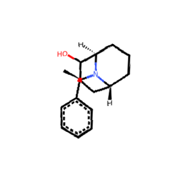 C[C@H](c1ccccc1)N1[C@@H]2CCC[C@@H]1C(O)CC2